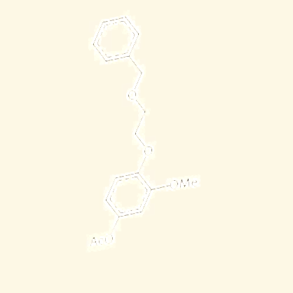 COc1cc(OC(C)=O)ccc1OCCOCc1ccccc1